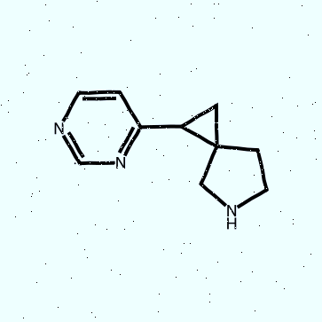 [c]1nccc(C2CC23CCNC3)n1